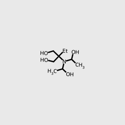 CCC(CO)(CO)N(C(C)O)C(C)O